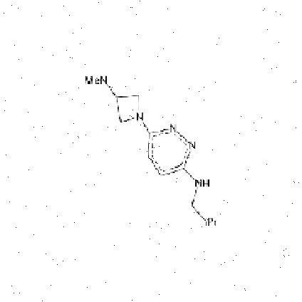 CNC1CN(c2ccc(NCC(C)C)nn2)C1